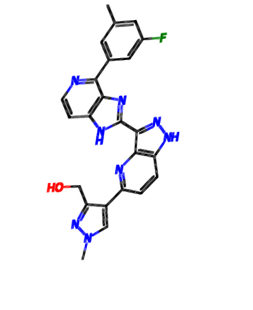 Cc1cc(F)cc(-c2nccc3[nH]c(-c4n[nH]c5ccc(-c6cn(C)nc6CO)nc45)nc23)c1